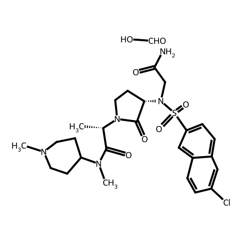 C[C@@H](C(=O)N(C)C1CCN(C)CC1)N1CC[C@H](N(CC(N)=O)S(=O)(=O)c2ccc3cc(Cl)ccc3c2)C1=O.O=CO